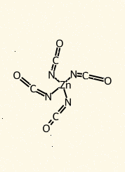 O=C=[N][Zn]([N]=C=O)([N]=C=O)[N]=C=O